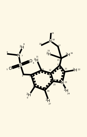 [2H]c1c(CS(=O)(=O)N([2H])C)c([2H])c2c(C([2H])([2H])CN(C)C)c([2H])n([2H])c2c1[2H]